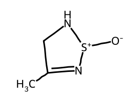 CC1=N[S+]([O-])NC1